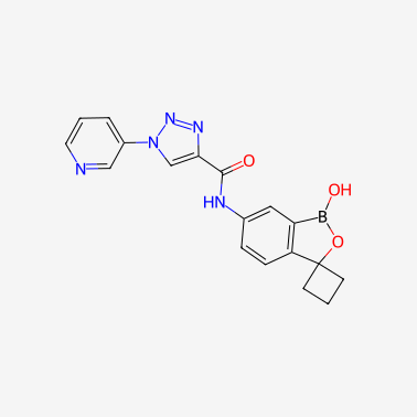 O=C(Nc1ccc2c(c1)B(O)OC21CCC1)c1cn(-c2cccnc2)nn1